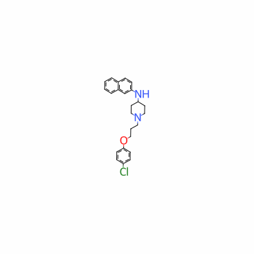 Clc1ccc(OCCCN2CCC(Nc3ccc4ccccc4c3)CC2)cc1